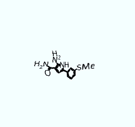 CSc1cccc(-c2cc(C(N)=O)c(N)[nH]2)c1